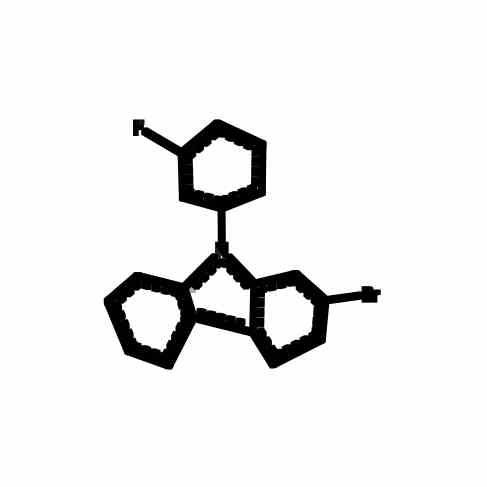 Fc1cccc(-n2c3ccccc3c3ccc(Br)cc32)c1